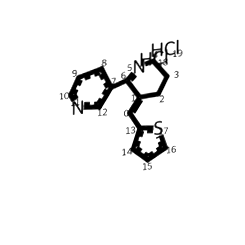 C(=C1CCCN=C1c1cccnc1)c1cccs1.Cl.Cl